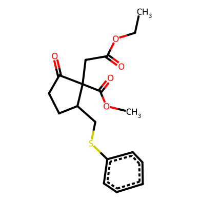 CCOC(=O)CC1(C(=O)OC)C(=O)CCC1CSc1ccccc1